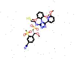 COc1cccc(-c2nnc(N(CCS)S(=O)(=O)C[C@H](OC)c3ccc(C#N)cc3S(C)(=O)=O)n2-c2c(OC)cccc2OC)n1